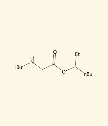 CCCCC(CC)OC(=O)CNC(C)CC